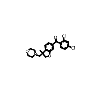 CC1(CN2CCOCC2)COc2cc(C(=O)c3ccc(Cl)cc3Cl)ccc21